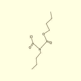 CCCCOC(=O)N(CCCC)C(=O)Cl